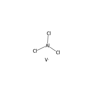 [Cl][Al]([Cl])[Cl].[V]